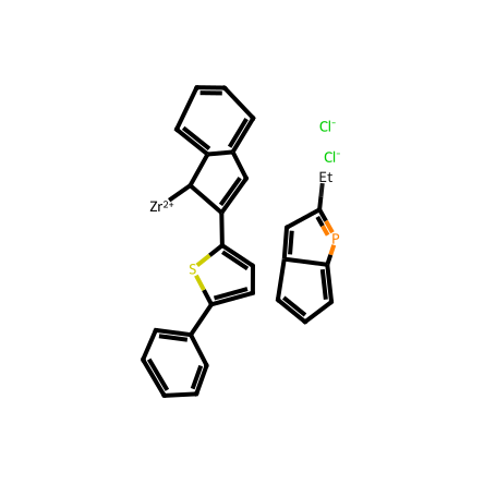 CCC1=PC2=CC=CC2=C1.[Cl-].[Cl-].[Zr+2][CH]1C(c2ccc(-c3ccccc3)s2)=Cc2ccccc21